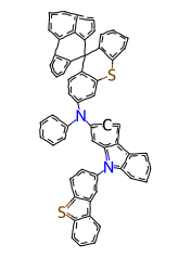 c1ccc(N(c2ccc3c(c2)Sc2ccccc2C32c3ccccc3-c3cccc4cccc2c34)c2ccc3c4ccccc4n(-c4ccc5sc6ccccc6c5c4)c3c2)cc1